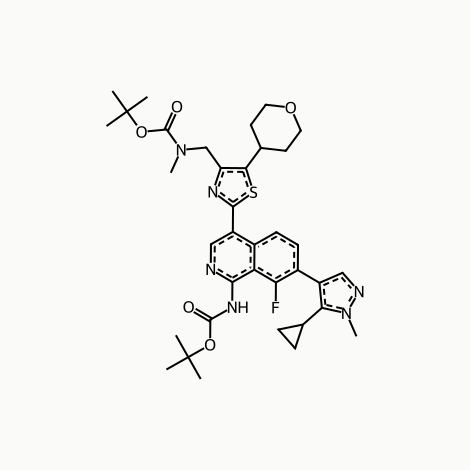 CN(Cc1nc(-c2cnc(NC(=O)OC(C)(C)C)c3c(F)c(-c4cnn(C)c4C4CC4)ccc23)sc1C1CCOCC1)C(=O)OC(C)(C)C